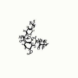 COc1ccc(S(=O)(=O)Nc2ccc(C(F)(F)F)cc2)c2c1C[C@@H](NC(=O)C(F)(F)F)CO2